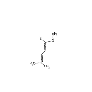 CCCOC(F)=CC=C(C)C